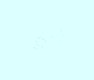 Cc1ccc(-c2ccc(F)cc2COc2ccc(CCC(=O)N[C@@H]3CCCN(c4cc(=O)n(C)c(=O)n4Cc4ccccc4C#N)C3)cc2)cc1